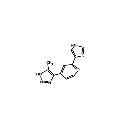 FC(F)(F)c1[nH]nnc1-c1ccnc(-c2c[nH]cn2)c1